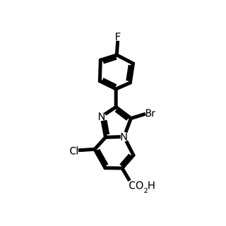 O=C(O)c1cc(Cl)c2nc(-c3ccc(F)cc3)c(Br)n2c1